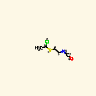 CC(Cl)SCCN=C=O